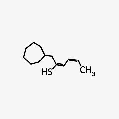 C/C=C\C=C(\S)CC1CCCCCC1